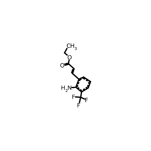 CCOC(=O)/C=C/c1cccc(C(F)(F)F)c1N